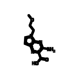 COCCn1ccc2nc(C(=O)O)c(N)nc21